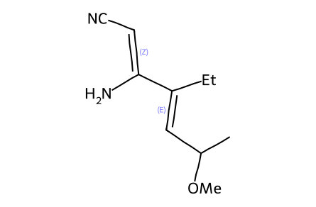 CCC(=C\C(C)OC)/C(N)=C/C#N